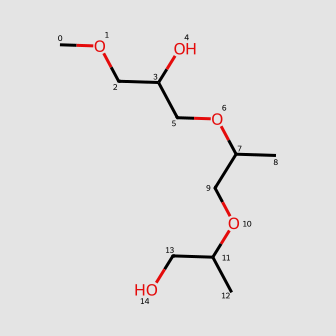 COCC(O)COC(C)COC(C)CO